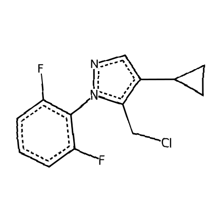 Fc1cccc(F)c1-n1ncc(C2CC2)c1CCl